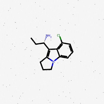 C[CH][C@H](N)c1c2n(c3cccc(Cl)c13)CCC2